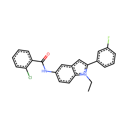 CCn1c(-c2cccc(F)c2)cc2cc(NC(=O)c3ccccc3Cl)ccc21